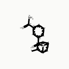 Cc1ccc2cc1N2C(=O)c1cccc(C(N)=O)c1